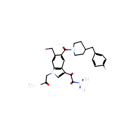 COC(=O)Cn1cc(C(=O)C(=O)N(C)C)c2cc(C(=O)N3CCC(Cc4ccc(F)cc4)CC3)c(CI)cc21